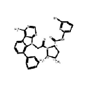 C[C@@H]1[C@@H](C)C[C@@H](C(=O)Nc2cccc(Br)n2)N1C(=O)Cn1c2ncnc(N)c2c2cccc(-c3ccccc3)c21